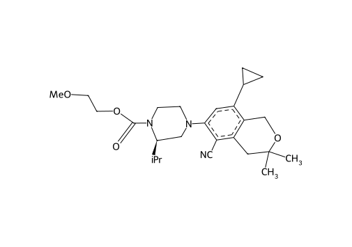 COCCOC(=O)N1CCN(c2cc(C3CC3)c3c(c2C#N)CC(C)(C)OC3)C[C@H]1C(C)C